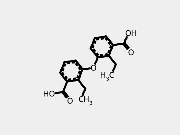 CCc1c(Oc2cccc(C(=O)O)c2CC)cccc1C(=O)O